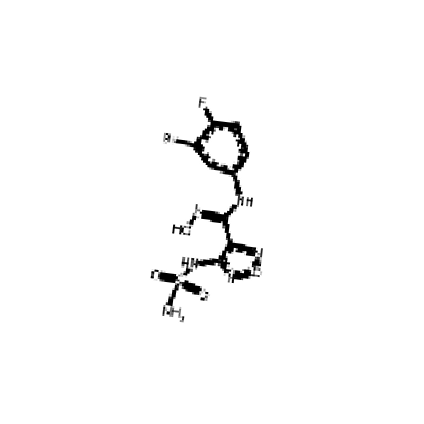 NS(=O)(=O)Nc1nonc1C(=NO)Nc1ccc(F)c(Br)c1